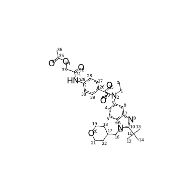 CCN(c1ccc2c(c1)nc(C(C)(C)C)n2CC1CCOCC1)S(=O)(=O)c1ccc(NC(=O)COC(C)=O)cc1